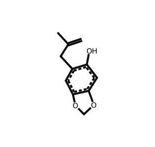 C=C(C)Cc1cc2c(cc1O)OCO2